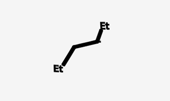 [CH2]CC[CH]CC